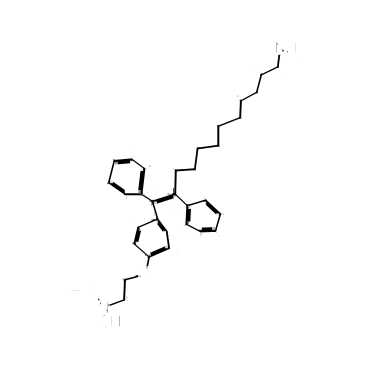 CN(C)CCOc1ccc(/C(=C(/CCCCCCCCCCN)c2ccccc2)c2ccccc2)cc1